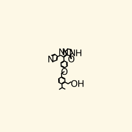 CC(C)c1ccc(COc2ccc(-c3c(-c4ccncc4)nn4c3C(=O)NCC4)cc2)cc1CCO